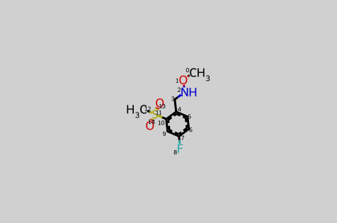 CONCc1ccc(F)cc1S(C)(=O)=O